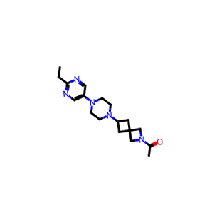 CCc1ncc(N2CCN(C3CC4(C3)CN(C(C)=O)C4)CC2)cn1